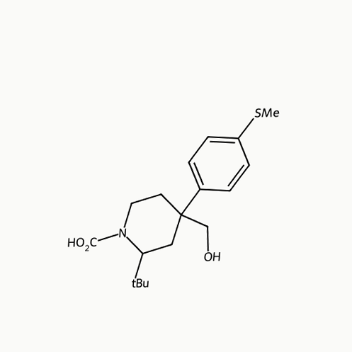 CSc1ccc(C2(CO)CCN(C(=O)O)C(C(C)(C)C)C2)cc1